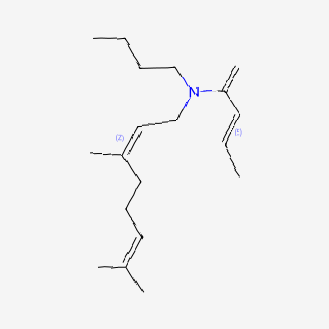 C=C(/C=C/C)N(C/C=C(/C)CCC=C(C)C)CCCC